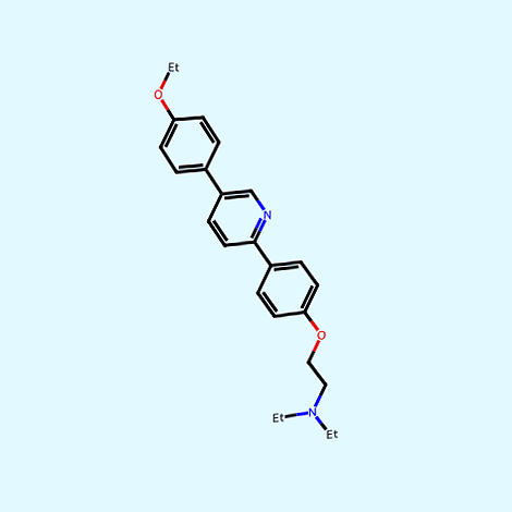 CCOc1ccc(-c2ccc(-c3ccc(OCCN(CC)CC)cc3)nc2)cc1